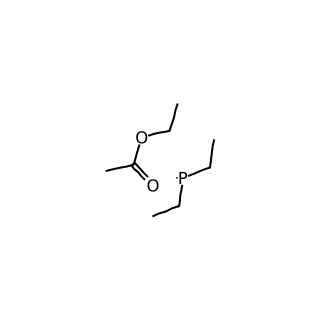 CCOC(C)=O.CC[P]CC